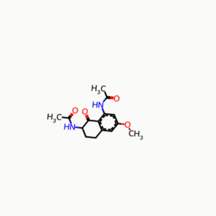 COc1cc2c(c(NC(C)=O)c1)C(=O)C(NC(C)=O)CC2